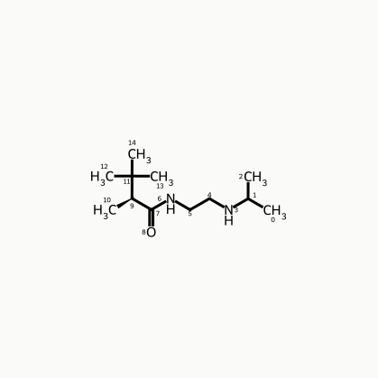 CC(C)NCCNC(=O)[C@@H](C)C(C)(C)C